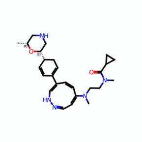 C[C@@H]1CNC[C@H](C2C=CC(c3ccc(N(C)CCN(C)C(=O)C4CC4)ccn[nH]c3)=CC2)O1